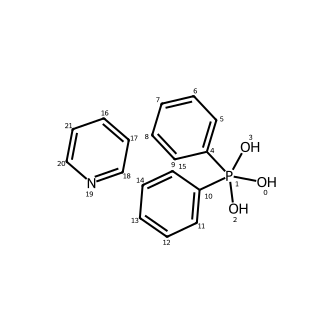 OP(O)(O)(c1ccccc1)c1ccccc1.c1ccncc1